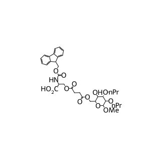 CCCOC1[C@@H](OC)OC(COC(=O)CCC(=O)OC[C@H](NC(=O)OCC2c3ccccc3-c3ccccc32)C(=O)O)[C@@H](O)[C@@H]1OCCC